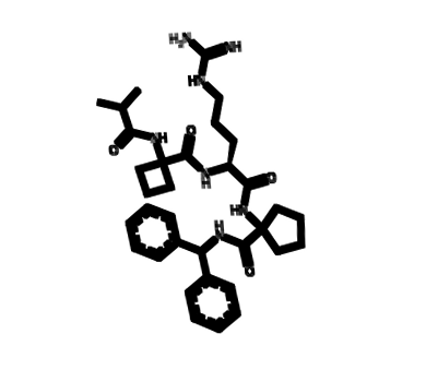 CC(C)C(=O)NC1(C(=O)N[C@@H](CCCNC(=N)N)C(=O)NC2(C(=O)NC(c3ccccc3)c3ccccc3)CCCC2)CCC1